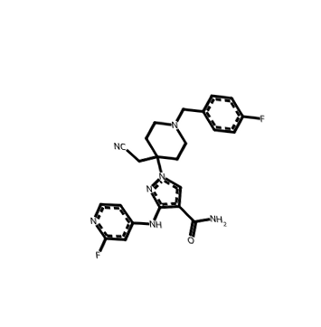 N#CCC1(n2cc(C(N)=O)c(Nc3ccnc(F)c3)n2)CCN(Cc2ccc(F)cc2)CC1